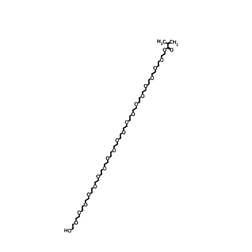 C=C(C)C(=O)OCCOCCOCCOCCOCCOCCOCCOCCOCCOCCOCCOCCOCCOCCOCCOCCOCCOCCOCCOCCO